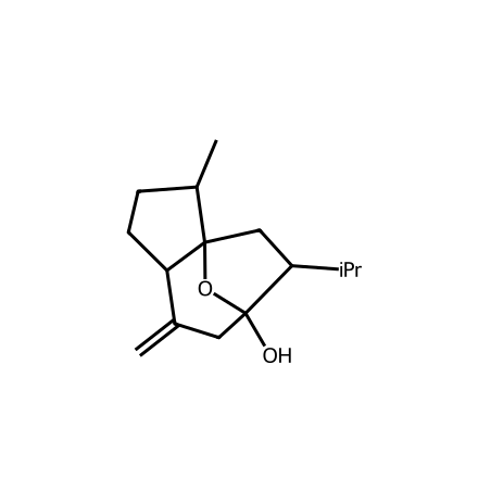 C=C1CC2(O)OC3(CC2C(C)C)C(C)CCC13